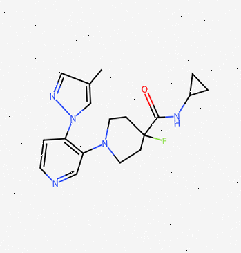 Cc1cnn(-c2ccncc2N2CCC(F)(C(=O)NC3CC3)CC2)c1